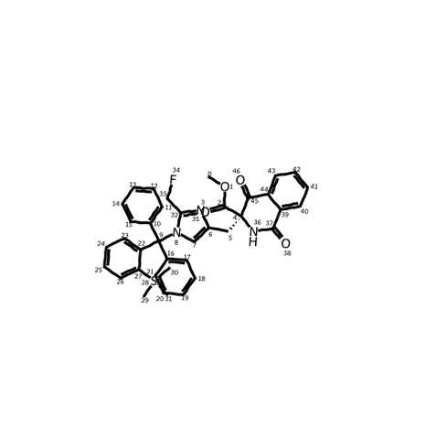 COC(=O)[C@]1(Cc2cn(C(c3ccccc3)(c3ccccc3)c3ccccc3[Si](C)(C)C)c(CF)n2)NC(=O)c2ccccc2C1=O